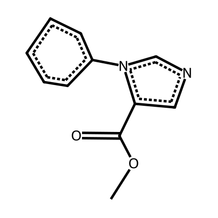 COC(=O)c1cncn1-c1ccccc1